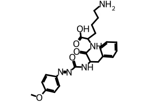 COc1ccc(N=NC(=O)NC(Cc2ccccc2)C(=O)NC(CCCCN)C(=O)O)cc1